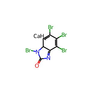 O=C1N=C2C(Br)=C(Br)C(Br)=CC2N1Br.[CaH2]